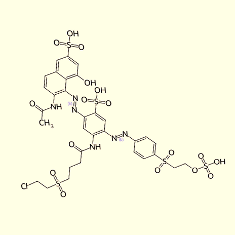 CC(=O)Nc1ccc2cc(S(=O)(=O)O)cc(O)c2c1/N=N/c1cc(NC(=O)CCCS(=O)(=O)CCCl)c(/N=N/c2ccc(S(=O)(=O)CCOS(=O)(=O)O)cc2)cc1S(=O)(=O)O